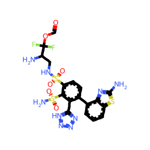 Nc1nc2c(-c3ccc(S(=O)(=O)NCC(N)C(F)(F)OC=O)c(S(N)(=O)=O)c3-c3nnn[nH]3)cccc2s1